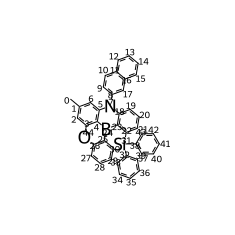 Cc1cc2c3c(c1)N(c1ccc4ccccc4c1)c1cccc4c1B3c1c(cccc1[Si]4(c1ccccc1)c1ccccc1)O2